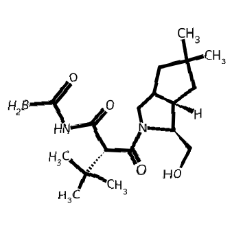 BC(=O)NC(=O)[C@H](C(=O)N1CC2CC(C)(C)C[C@@H]2[C@H]1CO)C(C)(C)C